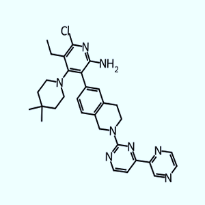 CCc1c(Cl)nc(N)c(-c2ccc3c(c2)CCN(c2nccc(-c4cnccn4)n2)C3)c1N1CCC(C)(C)CC1